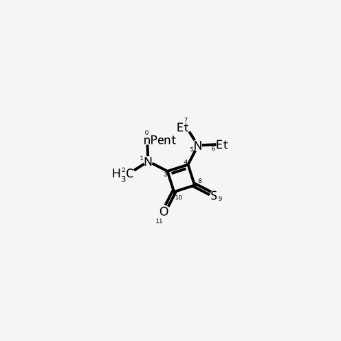 CCCCCN(C)c1c(N(CC)CC)c(=S)c1=O